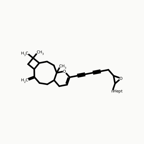 C=C1CCC2CC=C(C#CC#CCC3OC3CCCCCCC)OC2(C)CCC2C1CC2(C)C